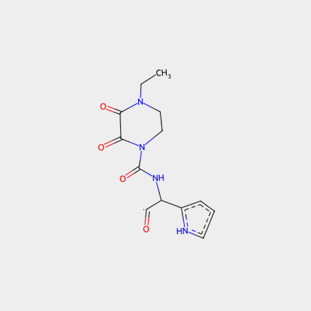 CCN1CCN(C(=O)NC([C]=O)c2ccc[nH]2)C(=O)C1=O